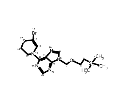 C[Si](C)(C)CCOCn1cnc2c(N3C=C(Br)SCC3)ncnc21